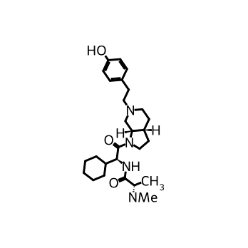 CN[C@@H](C)C(=O)N[C@H](C(=O)N1CC[C@H]2CCN(CCc3ccc(O)cc3)C[C@H]21)C1CCCCC1